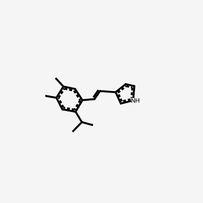 Cc1cc(C=Cc2cc[nH]c2)c(C(C)C)cc1C